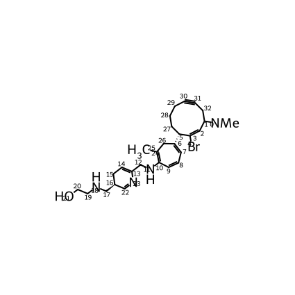 CNC1C=C(Br)[C@H](C2=CC=CC(NCC3=CC[C@H](CNCCO)C=N3)=C(C)C2)CCCC#CC1